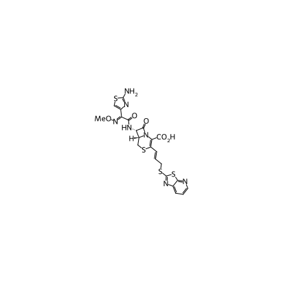 CON=C(C(=O)N[C@@H]1C(=O)N2C(C(=O)O)=C(/C=C/CSc3nc4cccnc4s3)SC[C@H]12)c1csc(N)n1